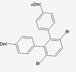 CCCCCCCCCCc1ccc(-c2c(Br)ccc(Br)c2-c2ccc(CCCCCCCCCC)cc2)cc1